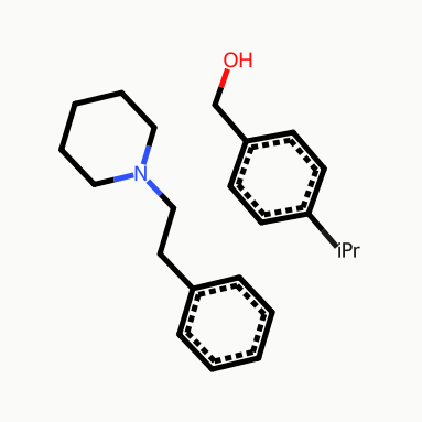 CC(C)c1ccc(CO)cc1.c1ccc(CCN2CCCCC2)cc1